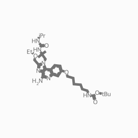 CCOCc1nc2c(N)nc3cc(OCCCCCCNC(=O)OC(C)(C)C)ccc3c2n1CC(C)(C)NC(=O)NC(C)C